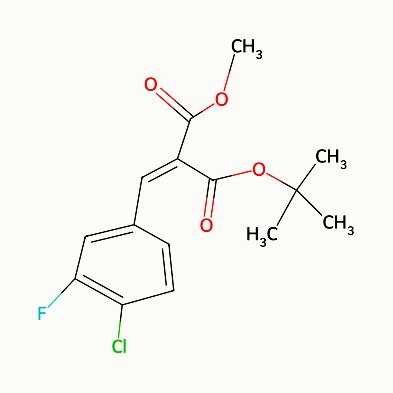 COC(=O)C(=Cc1ccc(Cl)c(F)c1)C(=O)OC(C)(C)C